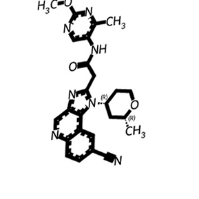 COc1ncc(NC(=O)Cc2nc3cnc4ccc(C#N)cc4c3n2[C@@H]2CCO[C@H](C)C2)c(C)n1